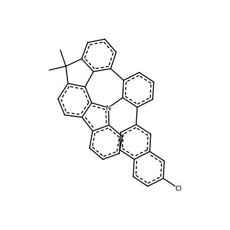 CC1(C)c2cccc3c2-c2c1ccc1c4ccccc4n(c21)-c1c(-c2ccc4ccc(Cl)cc4c2)cccc1-3